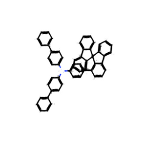 c1ccc(-c2ccc(N(c3ccc(-c4ccccc4)cc3)c3ccc(-c4cccc5c4C4(c6ccccc6-c6ccccc64)c4ccccc4-5)cc3)cc2)cc1